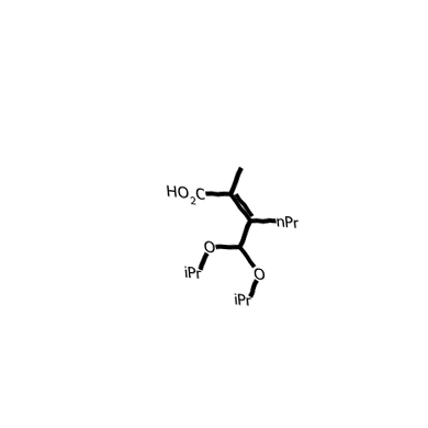 CCCC(=C(C)C(=O)O)C(OC(C)C)OC(C)C